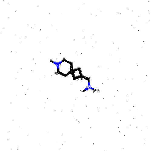 CC(C)N(C)CC1CC2(CCN(C)CC2)C1